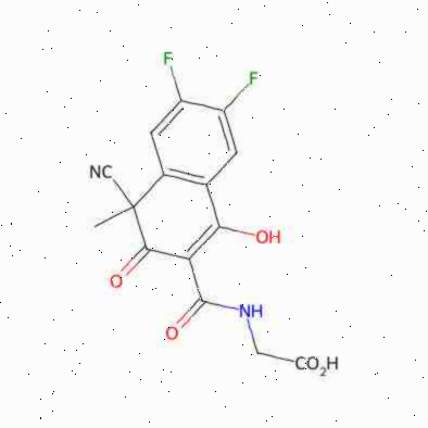 CC1(C#N)C(=O)C(C(=O)NCC(=O)O)=C(O)c2cc(F)c(F)cc21